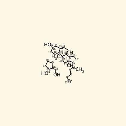 CC(C)CCC[C@@H](C)[C@H]1CC[C@H]2[C@@H]3CC=C4C[C@@H](O)CC[C@]4(C)[C@H]3CC[C@]12C.OCC1CCCN1O